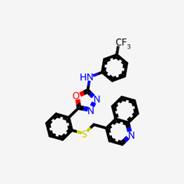 FC(F)(F)c1cccc(Nc2nnc(-c3ccccc3SCc3ccnc4ccccc34)o2)c1